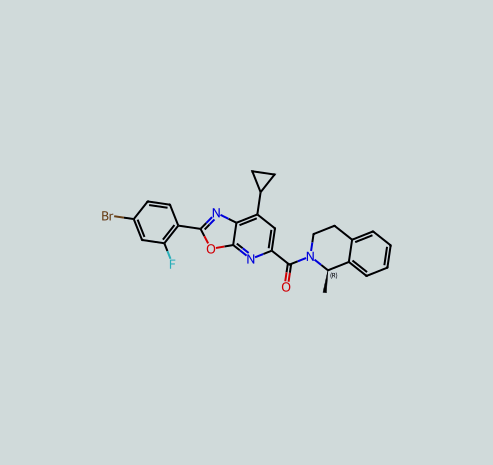 C[C@@H]1c2ccccc2CCN1C(=O)c1cc(C2CC2)c2nc(-c3ccc(Br)cc3F)oc2n1